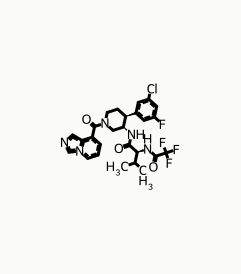 CC(C)[C@H](NC(=O)C(F)(F)F)C(=O)N[C@@H]1CN(C(=O)c2cccn3cncc23)CC[C@H]1c1cc(F)cc(Cl)c1